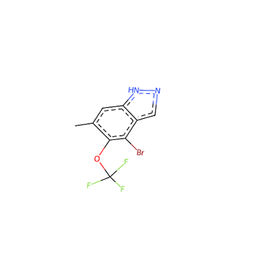 Cc1cc2[nH]ncc2c(Br)c1OC(F)(F)F